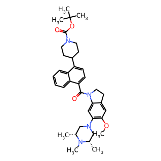 COc1cc2c(cc1N1C[C@@H](C)N(C)[C@@H](C)C1)N(C(=O)c1ccc(C3CCN(C(=O)OC(C)(C)C)CC3)c3ccccc13)CC2